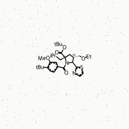 CCOC[C@H]1C[C@@](CC(C)C)(C(=O)OC(C)(C)C)N(C(=O)c2ccc(C(C)(C)C)c(OC)c2)C1c1nccs1